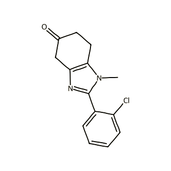 Cn1c(-c2ccccc2Cl)nc2c1CCC(=O)C2